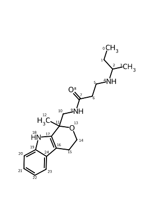 CCC(C)NCCC(=O)NCC1(C)OCCc2c1[nH]c1ccccc21